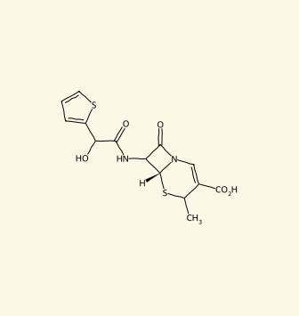 CC1S[C@@H]2C(NC(=O)C(O)c3cccs3)C(=O)N2C=C1C(=O)O